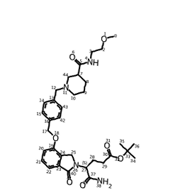 COCCNC(=O)C1CCCN(Cc2ccc(COc3cccc4c3CN([C@@H](CCC(=O)OC(C)(C)C)C(N)=O)C4=O)cc2)C1